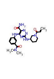 C=CC(=O)N1CCC[C@@H](Nc2nnc(C(N)=O)c(Nc3cccc(C(=O)N(C)C)c3)n2)C1